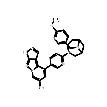 COc1ccc(CN2C3CCN(c4ccc(-c5cc(O)cn6nc7[nH]ncc7c56)cn4)CC2C3)cn1